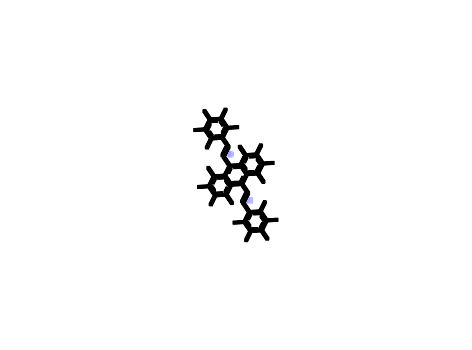 Cc1c(C)c(C)c(/C=C/c2c3c(C)c(C)c(C)c(C)c3c(/C=C/c3c(C)c(C)c(C)c(C)c3C)c3c(C)c(C)c(C)c(C)c23)c(C)c1C